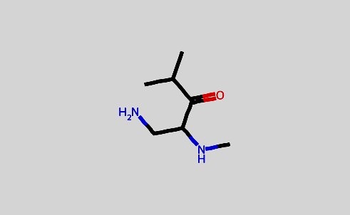 CNC(CN)C(=O)C(C)C